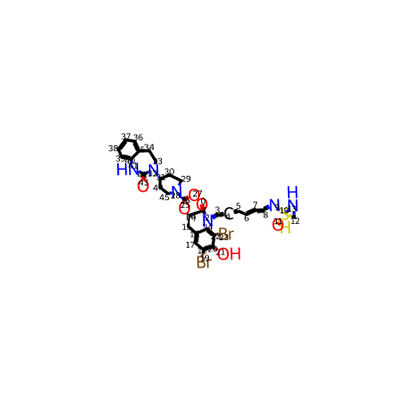 O=C(N=C=C=CC=C=C=N[SH]1(=O)CN1)[C@@H](Cc1cc(Br)c(O)c(Br)c1)OC(=O)N1CCC(N2CCc3ccccc3NC2=O)CC1